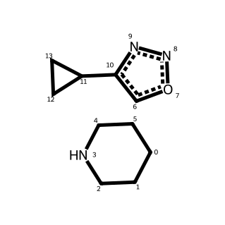 C1CCNCC1.c1onnc1C1CC1